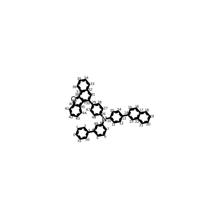 c1ccc(-c2cccc(N(c3ccc(-c4ccc5ccccc5c4)cc3)c3ccc(-c4cc5ccccc5c5oc6ccccc6c45)cc3)c2)cc1